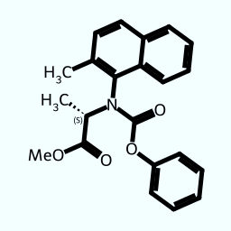 COC(=O)[C@H](C)N(C(=O)Oc1ccccc1)c1c(C)ccc2ccccc12